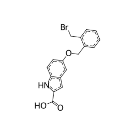 O=C(O)c1cc2cc(OCc3ccccc3CBr)ccc2[nH]1